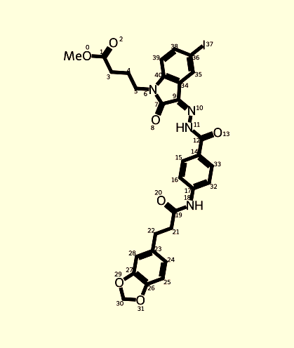 COC(=O)CCCN1C(=O)/C(=N\NC(=O)c2ccc(NC(=O)CCc3ccc4c(c3)OCO4)cc2)c2cc(I)ccc21